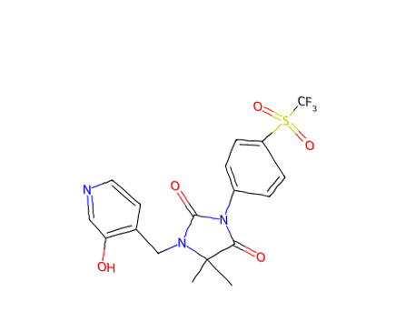 CC1(C)C(=O)N(c2ccc(S(=O)(=O)C(F)(F)F)cc2)C(=O)N1Cc1ccncc1O